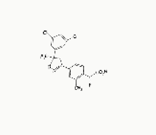 Cc1cc(C2=NOC(c3cc(Cl)cc(Cl)c3)(C(F)(F)F)C2)ccc1C(F)C(=O)O